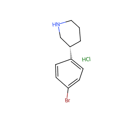 Brc1ccc([C@H]2CCCNC2)cc1.Cl